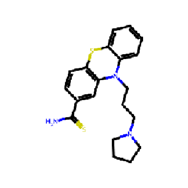 NC(=S)c1ccc2c(c1)N(CCCN1CCCC1)c1ccccc1S2